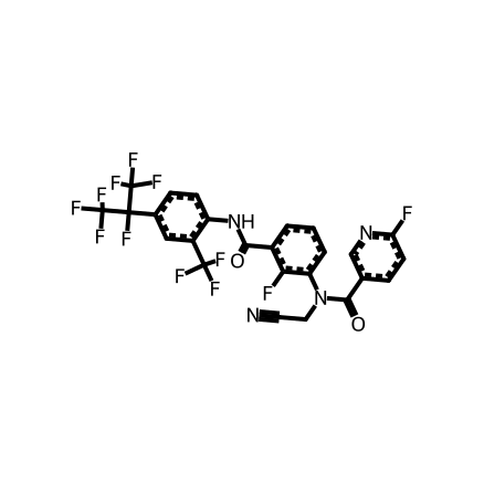 N#CCN(C(=O)c1ccc(F)nc1)c1cccc(C(=O)Nc2ccc(C(F)(C(F)(F)F)C(F)(F)F)cc2C(F)(F)F)c1F